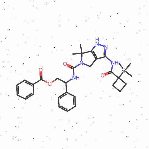 CC1(C)c2[nH]nc(NC(=O)C3([Si](C)(C)C)CCC3)c2CN1C(=O)NC(COC(=O)c1ccccc1)c1ccccc1